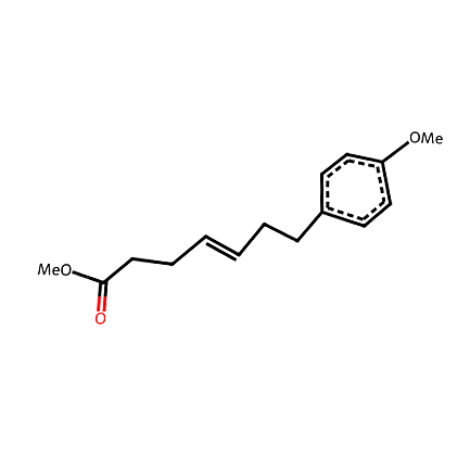 COC(=O)CC/C=C/CCc1ccc(OC)cc1